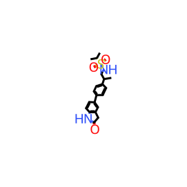 CC(CNS(=O)(=O)C(C)C)c1ccc(-c2ccc3c(c2)CC(=O)N3)cc1